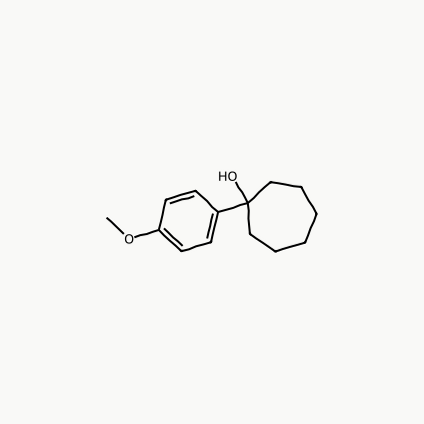 COc1ccc(C2(O)CCCCCC2)cc1